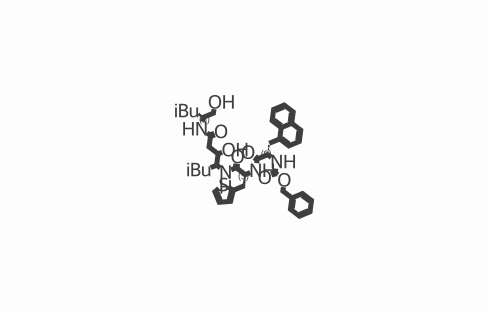 CCC(C)C(NC(=O)[C@H](Cc1cccs1)NC(=O)[C@H](Cc1cccc2ccccc12)NC(=O)OCc1ccccc1)C(O)CC(=O)N[C@H](CO)C(C)CC